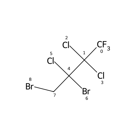 FC(F)(F)C(Cl)(Cl)C(Cl)(Br)CBr